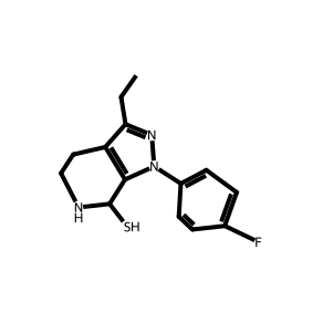 CCc1nn(-c2ccc(F)cc2)c2c1CCNC2S